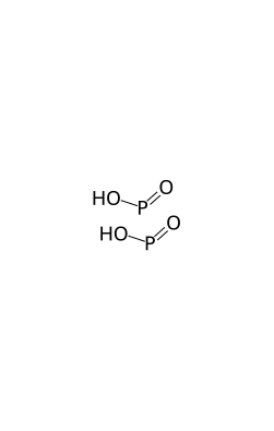 O=PO.O=PO